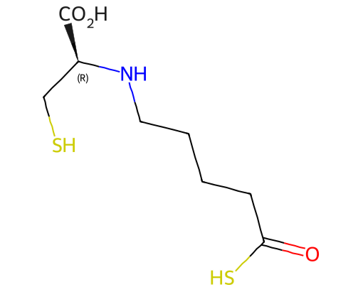 O=C(S)CCCCN[C@@H](CS)C(=O)O